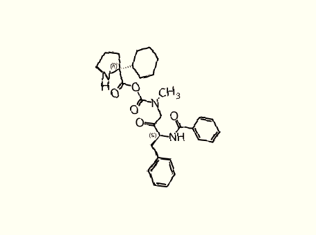 CN(CC(=O)[C@H](Cc1ccccc1)NC(=O)c1ccccc1)C(=O)OC(=O)[C@]1(C2CCCCC2)CCCN1